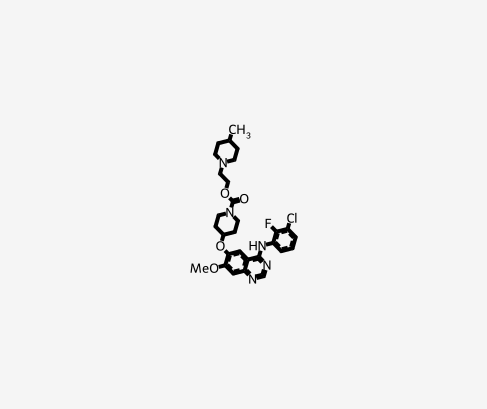 COc1cc2ncnc(Nc3cccc(Cl)c3F)c2cc1OC1CCN(C(=O)OCCN2CCC(C)CC2)CC1